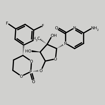 C[C@@]1(O)[C@H](O)C(O[P@]2(=O)OCC[C@H](c3cc(F)cc(F)c3)O2)O[C@H]1n1ccc(N)nc1=O